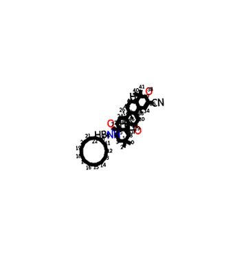 CC1(C)CCC2(C(=O)NBC3CCCCCCCCCCCC3)CC[C@]3(C)[C@H](C(=O)C=C4[C@@]5(C)C=C(C#N)C(=O)C(C)(C)[C@@H]5CC[C@]43C)[C@@H]2C1